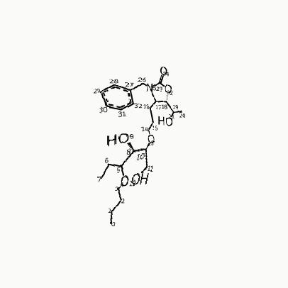 CCCCOC(CC)[C@@H](O)C(CO)OCCCC1[C@@H]([C@@H](C)O)OC(=O)N1Cc1ccccc1